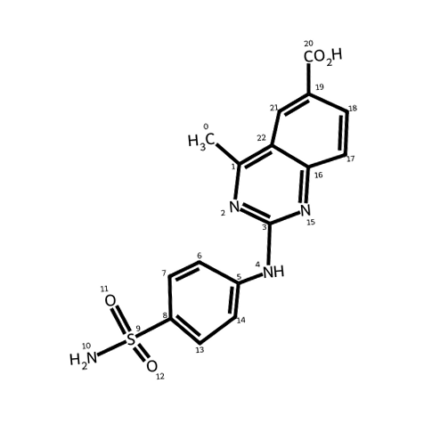 Cc1nc(Nc2ccc(S(N)(=O)=O)cc2)nc2ccc(C(=O)O)cc12